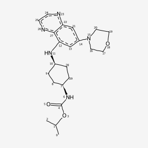 CC(C)OC(=O)N[C@H]1CC[C@@H](Nc2cc(N3CCOCC3)cc3nccnc23)CC1